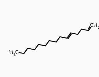 C=CCCC=CCCCCCCCCC